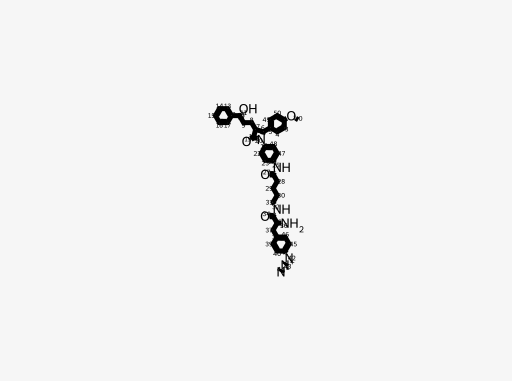 COc1ccc(C2C(CC[C@H](O)c3ccccc3)C(=O)N2c2ccc(NC(=O)CCCCNC(=O)C(N)Cc3ccc(N=[N+]=[N-])cc3)cc2)cc1